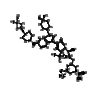 C[C@]1(F)CC(CNC(=O)c2cnc(-c3cn(C4CCC(F)(F)CC4)c4cc(O[C@H]5CC[C@H](N6CC(F)(F)C6)CC5)ccc34)nc2C(F)(F)F)C[C@H](C(=O)O)C1